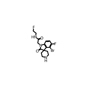 O=C(CN1C(=O)C2(CCNCC2)c2c1ccc(F)c2Br)NCCF